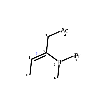 C/C=C(/CC(C)=O)B(C)C(C)C